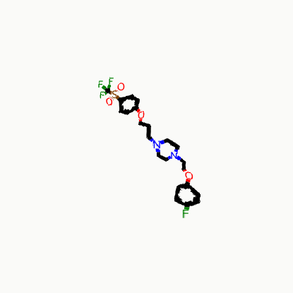 O=S(=O)(c1ccc(OCCCN2CCN(CCOc3ccc(F)cc3)CC2)cc1)C(F)(F)F